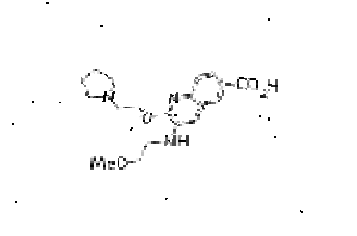 COCCNc1cc2cc(C(=O)O)ccc2nc1OCCN1CCCC1